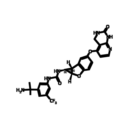 CC(C)(N)c1cc(NC(=O)N[C@@H]2[C@H]3Oc4ccc(Oc5ccnc6c5CNC(=O)N6)cc4[C@@H]23)cc(C(F)(F)F)c1